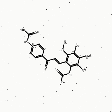 CCCc1c(OC(=O)C(C)(C)C)c(C=CC(=O)c2ccc(OC(=O)C(C)(C)C)cc2)c(OC(C)C)c(CCC)c1OC